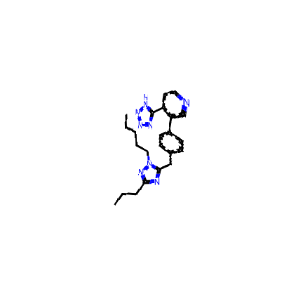 CCCCCn1nc(CCC)nc1Cc1ccc(-c2cnccc2-c2nnn[nH]2)cc1